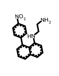 NCCNc1cccc2cccc(-c3ccc([N+](=O)[O-])cc3)c12